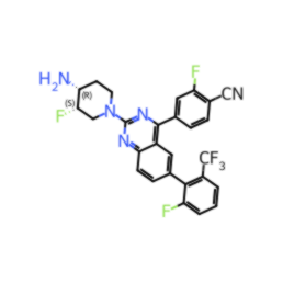 N#Cc1ccc(-c2nc(N3CC[C@@H](N)[C@@H](F)C3)nc3ccc(-c4c(F)cccc4C(F)(F)F)cc23)cc1F